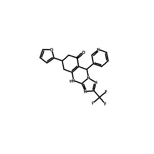 O=C1CC(c2ccco2)CC2=C1C(c1cccnc1)n1nc(C(F)(F)F)nc1N2